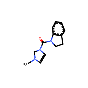 CN1C=CN(C(=O)N2CCc3ccccc32)C1